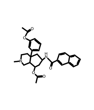 CC(=O)Oc1cccc(C23CCN(C)CC2C(OC(C)=O)CC(NC(=O)c2ccc4ccccc4c2)C3)c1